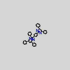 c1ccc(-c2cc(-c3ccccc3)c3nc(-c4ccc(-c5nc(-c6ccccc6)cc(-c6ccccc6)n5)cc4)c(-c4ccccc4)n3c2)cc1